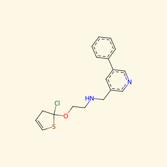 ClC1(OCCNCc2cncc(-c3ccccc3)c2)CC=CS1